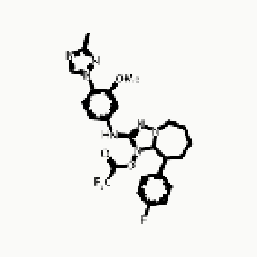 COc1cc(NC2=NN3CCCCC(c4ccc(F)cc4)C3N2OC(=O)C(F)(F)F)ccc1-n1cnc(C)n1